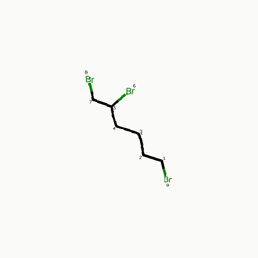 BrCC[CH]CC(Br)CBr